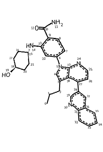 CCCc1cn(-c2ccc(C(N)=O)c(N[C@H]3CC[C@H](O)CC3)c2)c2nccc(-c3cnc4ccccc4c3)c12